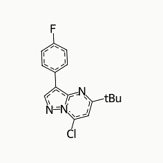 CC(C)(C)c1cc(Cl)n2ncc(-c3ccc(F)cc3)c2n1